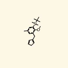 COc1c(CC2=CCC=C2)cc(C)cc1[Si](C)(C)C(C)(C)C